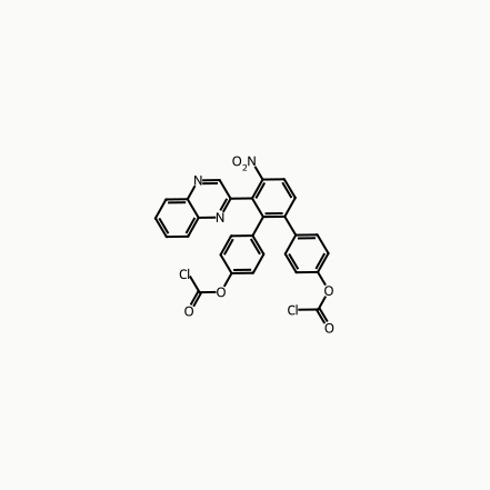 O=C(Cl)Oc1ccc(-c2ccc([N+](=O)[O-])c(-c3cnc4ccccc4n3)c2-c2ccc(OC(=O)Cl)cc2)cc1